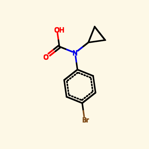 O=C(O)N(c1ccc(Br)cc1)C1CC1